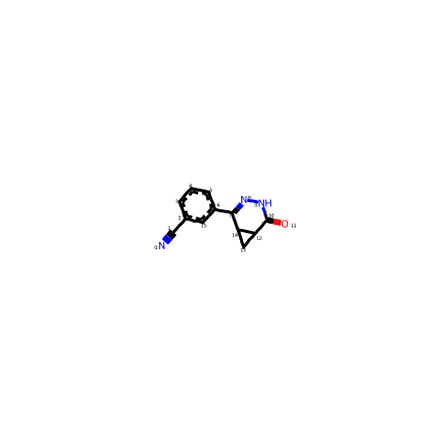 N#Cc1cccc(C2=NNC(=O)C3CC23)c1